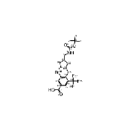 CC(C)(C)OC(=O)NCC1CCN(Cc2c(Br)cc(C(=O)O)cc2C(F)(F)F)C1